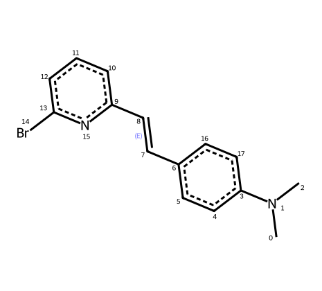 CN(C)c1ccc(/C=C/c2cccc(Br)n2)cc1